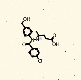 C/C(CCC(=O)O)=N\N(C(=O)c1ccc(Cl)cc1)c1ccc(CO)cc1